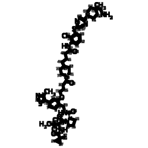 Cc1ncsc1-c1ccc(CNC(=O)[C@@H]2CCCN2C(=O)[C@@H](NC(=O)C2(F)CC2)C(C)(C)C)c(OCCCC(=O)N2CCC(CCCC(=O)Nc3cccc(Sc4cnc(N5CCC(C)(CN)CC5)cn4)c3Cl)CC2)c1